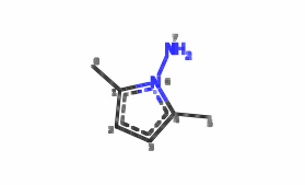 Cc1ccc(C)n1N